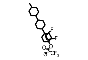 CC1CCC(C2CCC(C34CCC(OS(=O)(=O)C(F)(F)F)(CC3)C(F)=C4F)CC2)CC1